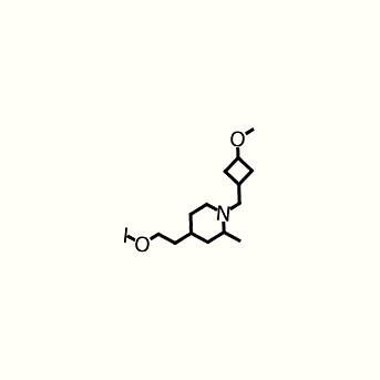 COC1CC(CN2CCC(CCOI)CC2C)C1